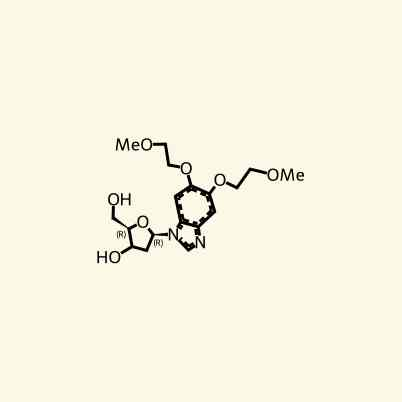 COCCOc1cc2ncn([C@H]3CC(O)[C@@H](CO)O3)c2cc1OCCOC